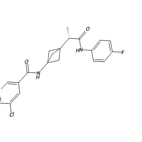 C[C@H](C(=O)Nc1ccc(F)cc1)C12CC(NC(=O)c3cncc(Cl)c3)(C1)C2